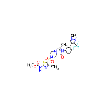 COC(=O)Nc1nc(C)c(S(=O)(=O)N2CCN(C[C@H](C)N(C=O)c3cccc(-c4cn(C)nc4C(F)(F)F)c3)CC2)s1